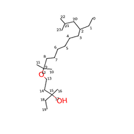 CCC(CCCCCCC(C)(C)OCCC(C)(O)CC)CC(C)C